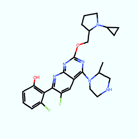 CC1CNCCN1c1nc(OCC2CCCN2C2CC2)nc2nc(-c3c(O)cccc3F)c(F)cc12